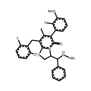 CCCCNC(c1ccccc1)C1CSc2c(Cc3c(F)cccc3C(F)(F)F)c(C)c(-c3cccc(OC)c3F)c(=O)n21